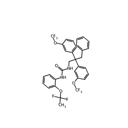 CC(F)(F)Oc1ccccc1NC(=O)NCC(Cc1ccccc1)(c1cccc(OC(F)(F)F)c1)c1cccc(OC(F)(F)F)c1